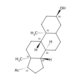 CC(=O)[C@H]1CC[C@H]2[C@@H]3CCC4C[C@H](O)CC[C@]4(C)[C@H]3CC[C@]12C